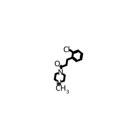 CN1CCN(C(=O)CCc2ccccc2Cl)CC1